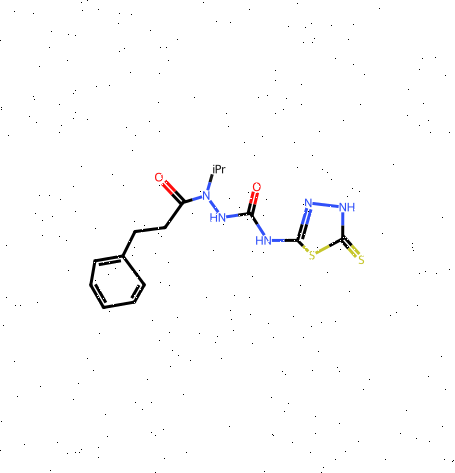 CC(C)N(NC(=O)Nc1n[nH]c(=S)s1)C(=O)CCc1ccccc1